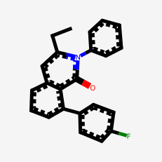 CCc1cc2cccc(-c3ccc(F)cc3)c2c(=O)n1-c1ccccc1